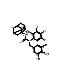 Cc1c(Cl)cc(N(Cc2cc(Br)c(O)c(Br)c2)C(=O)NC23CC4CC(CC(C4)C2)C3)c(O)c1Cl